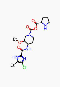 CCOC1CN(C(=O)OC(=O)[C@@H]2CCCN2)CCC1NC(=O)c1nc(Cl)c(CC)[nH]1